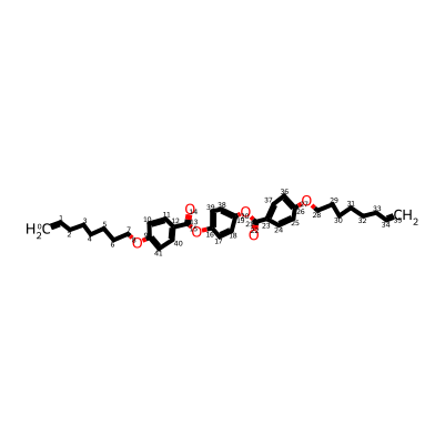 C=CCCCCCCOc1ccc(C(=O)Oc2ccc(OC(=O)c3ccc(OCCCCCCC=C)cc3)cc2)cc1